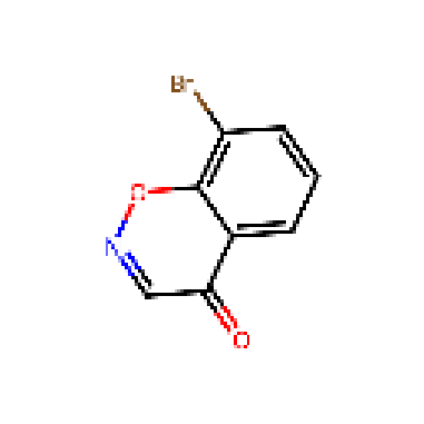 O=c1cnoc2c(Br)cccc12